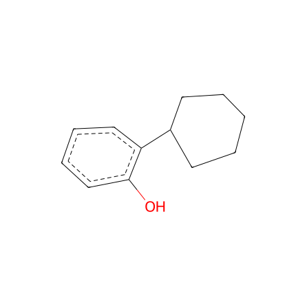 Oc1ccccc1C1CCCCC1